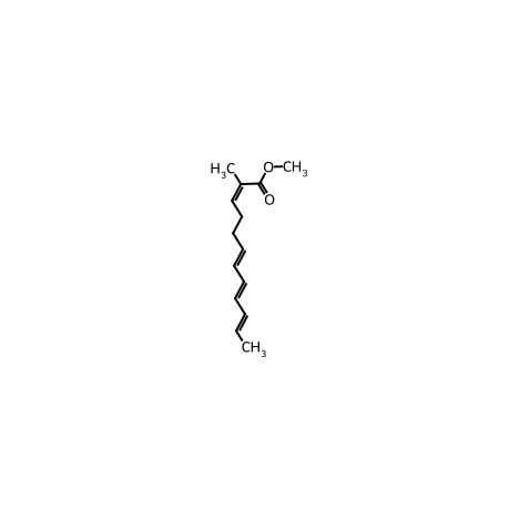 CC=CC=CC=CCCC=C(C)C(=O)OC